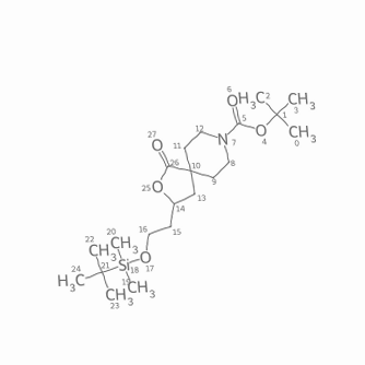 CC(C)(C)OC(=O)N1CCC2(CC1)CC(CCO[Si](C)(C)C(C)(C)C)OC2=O